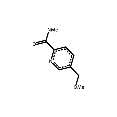 CNC(=O)c1ccc(COC)cn1